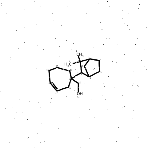 CC1(C)C2CCC(C2)C1C1(CO)CC=CCCC1